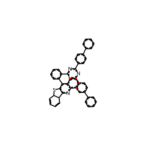 C1=CC2Sc3c(nc4ccccc4c3-c3ccccc3-c3nc(-c4ccc(-c5ccccc5)cc4)nc(-c4ccc(-c5ccccc5)cc4)n3)C2C=C1